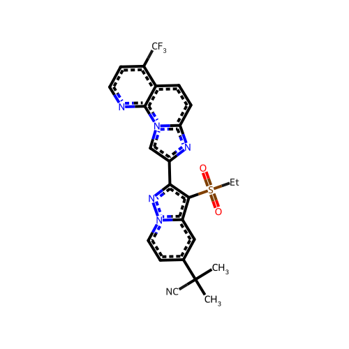 CCS(=O)(=O)c1c(-c2cn3c(ccc4c(C(F)(F)F)ccnc43)n2)nn2ccc(C(C)(C)C#N)cc12